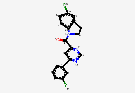 O=C(c1cc(-c2cccc(Cl)c2)ncn1)N1CCc2cc(F)ccc21